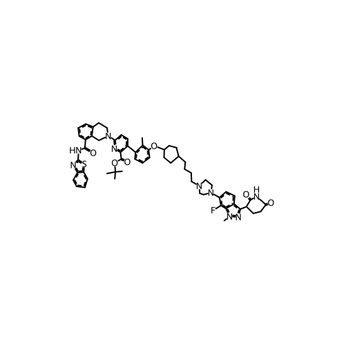 Cc1c(OC2CCC(CCCCN3CCN(c4ccc5c(C6CCC(=O)NC6=O)nn(C)c5c4F)CC3)CC2)cccc1-c1ccc(N2CCc3cccc(C(=O)Nc4nc5ccccc5s4)c3C2)nc1C(=O)OC(C)(C)C